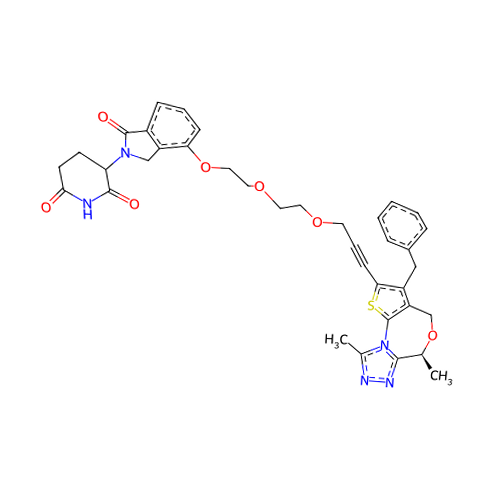 Cc1nnc2n1-c1sc(C#CCOCCOCCOc3cccc4c3CN(C3CCC(=O)NC3=O)C4=O)c(Cc3ccccc3)c1CO[C@H]2C